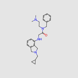 CN(C)CCN(Cc1ccccc1)C(=O)CNc1cccc2c1CN(CC1CC1)C2